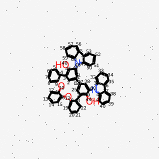 Cc1cc(-c2ccccc2Oc2ccccc2Oc2ccccc2-c2cc(C)cc(-n3c4ccccc4c4ccccc43)c2O)c(O)c(-n2c3ccccc3c3ccccc32)c1